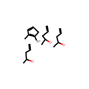 C=CCC(C)[O-].C=CCC(C)[O-].C=CCC(C)[O-].CC1=[C]([Ti+3])CC=C1